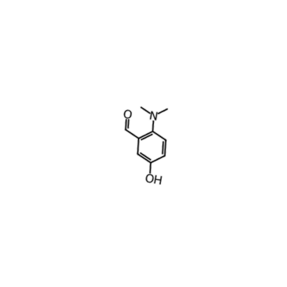 CN(C)c1ccc(O)cc1C=O